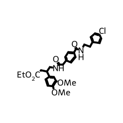 CCOC(=O)CC(CNC(=O)Cc1ccc(C(=O)NCCc2ccc(Cl)cc2)cc1)c1ccc(OC)c(OC)c1